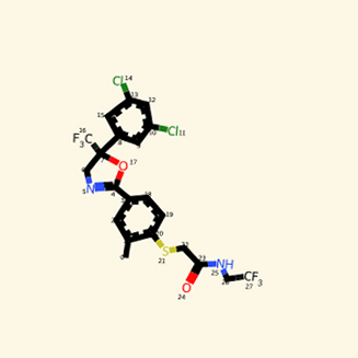 Cc1cc(C2=NCC(c3cc(Cl)cc(Cl)c3)(C(F)(F)F)O2)ccc1SCC(=O)NCC(F)(F)F